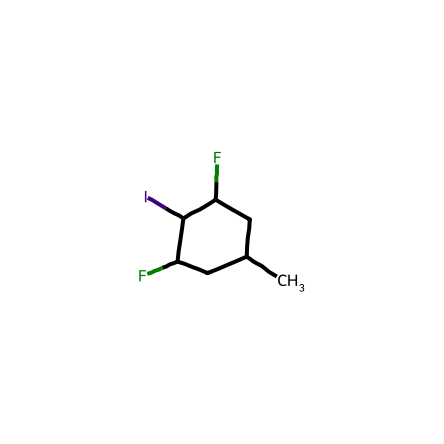 CC1CC(F)C(I)C(F)C1